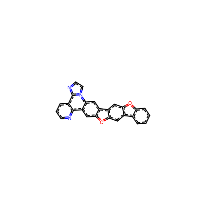 c1ccc2c(c1)oc1cc3c(cc12)oc1cc2c4ncccc4c4nccn4c2cc13